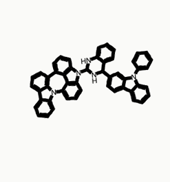 c1ccc(-n2c3ccccc3c3ccc(C4NC(n5c6cccc7c8cccc9c%10ccccc%10n(c%10cccc5c%10c76)c89)Nc5ccccc54)cc32)cc1